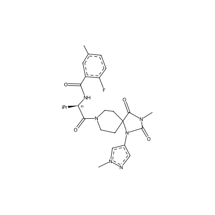 Cc1ccc(F)c(C(=O)N[C@@H](C(=O)N2CCC3(CC2)C(=O)N(C)C(=O)N3c2cnn(C)c2)C(C)C)c1